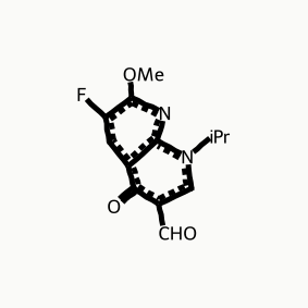 COc1nc2c(cc1F)c(=O)c(C=O)cn2C(C)C